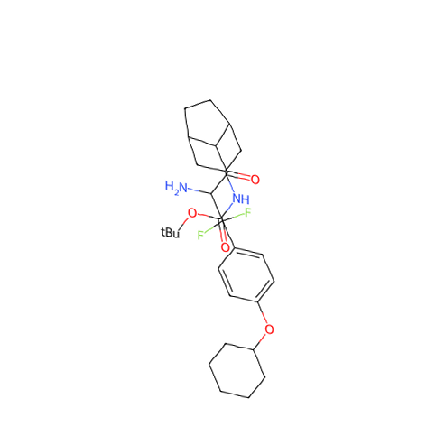 CC(C)(C)OC(=O)NC1CC2CCC(C1)C2C(=O)C(N)C(F)(F)c1ccc(OC2CCCCC2)cc1